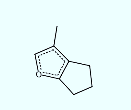 Cc1coc2c1CCC2